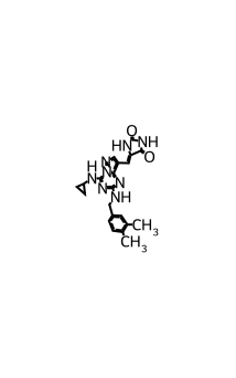 Cc1ccc(CNc2nc(NC3CC3)n3ncc(/C=C4\NC(=O)NC4=O)c3n2)cc1C